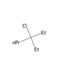 CCCC(Cl)(CC)CC